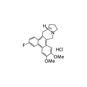 COc1cc2c3c(c4ccc(F)cc4c2cc1OC)C[C@@H]1CCCN1C3.Cl